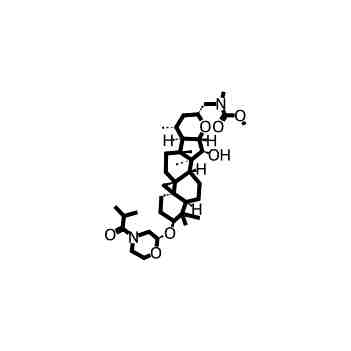 COC(=O)N(C)C[C@H]1C[C@@H](C)[C@H]2[C@H](O1)[C@H](O)[C@@]1(C)[C@@H]3CC[C@H]4C(C)(C)[C@@H](O[C@H]5CN(C(=O)C(C)C)CCO5)CC[C@@]45C[C@@]35CC[C@]21C